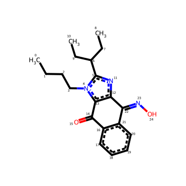 CCCCn1c(C(CC)CC)nc2c1C(=O)c1ccccc1C2=NO